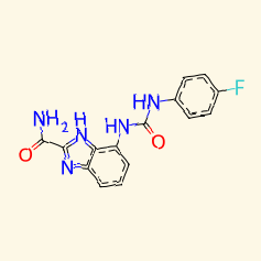 NC(=O)c1nc2cccc(NC(=O)Nc3ccc(F)cc3)c2[nH]1